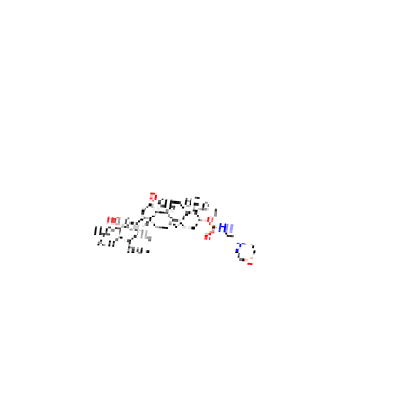 COC(C[C@@H](C)[C@H]1C[C@H](O)[C@@]2(C)C3CC[C@H]4C(C)(C)C(OC(=O)NCCN5CCOCC5)CCC45CC35CCC12C)C(OC(C)=O)C(C)(C)O